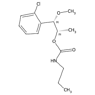 CCCNC(=O)O[C@@H](C)[C@@H](OC)c1ccccc1Cl